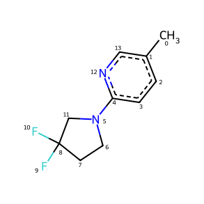 Cc1ccc(N2CCC(F)(F)C2)nc1